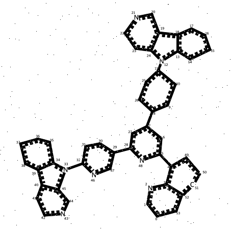 c1cnc2c(-c3cc(-c4ccc(-n5c6ccccc6c6cnccc65)cc4)cc(-c4ccc(-n5c6ccccc6c6ccncc65)nc4)n3)cccc2c1